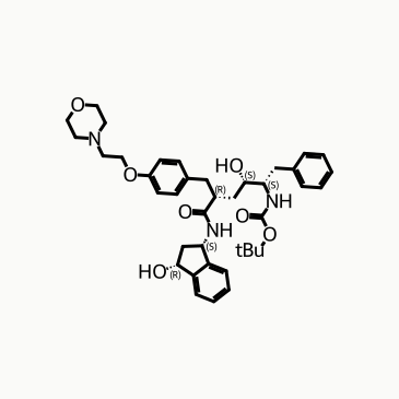 CC(C)(C)OC(=O)N[C@@H](Cc1ccccc1)[C@@H](O)C[C@@H](Cc1ccc(OCCN2CCOCC2)cc1)C(=O)N[C@H]1C[C@@H](O)c2ccccc21